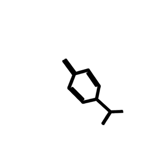 C=C1C=CC(C(C)C)C=C1